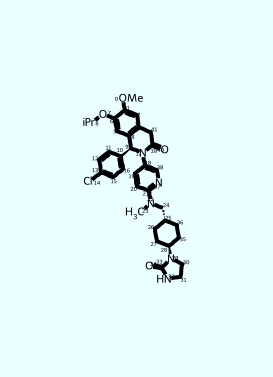 COc1cc2c(cc1OC(C)C)[C@H](c1ccc(Cl)cc1)N(c1ccc(N(C)C[C@H]3CC[C@H](N4CCNC4=O)CC3)nc1)C(=O)C2